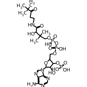 CC(C)(C)C(=O)CCNC(=O)C(O)C(C)(C)COP(=O)(O)OP(=O)(O)OCC1OC(n2cnc3c(N)ncnc32)C(O)C1OP(=O)(O)O